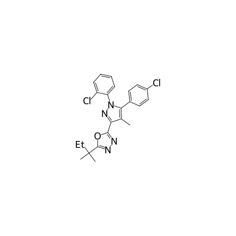 CCC(C)(C)c1nnc(-c2nn(-c3ccccc3Cl)c(-c3ccc(Cl)cc3)c2C)o1